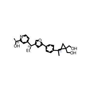 CC[C@@H](c1ccnc([C@H](C)O)c1)c1coc(-c2ccc(/C(C)=C3\CC3(CO)CO)cc2)c1